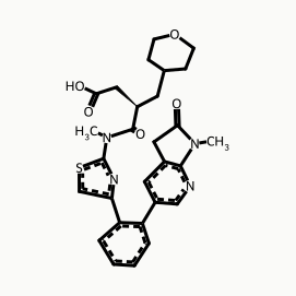 CN(C(=O)[C@@H](CC(=O)O)CC1CCOCC1)c1nc(-c2ccccc2-c2cnc3c(c2)CC(=O)N3C)cs1